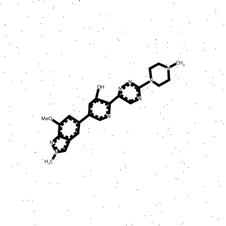 COc1cc(-c2cnc(-c3cnc(N4CCN(C)CC4)nn3)c(O)c2)cc2cn(C)nc12